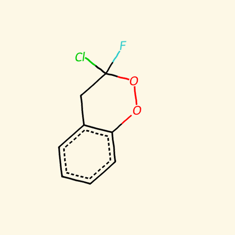 FC1(Cl)Cc2ccccc2OO1